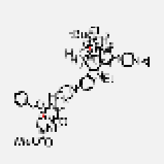 CCn1c(-c2cc(N3CCN(C4CC4)CC3)cnc2[C@H](C)OC)c(CC(C)(C)CO[Si](C)(C)C(C)(C)C)c2cc(N3CCO[C@@H](C[C@H](NC(=O)OCc4ccccc4)C(=O)N4CCC[C@@H](C(=O)OC)N4)C3)ccc21